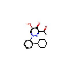 CC(=O)c1nn(-c2ccccc2C2CCCCC2)cc(O)c1=O